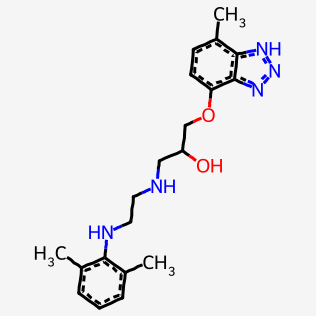 Cc1cccc(C)c1NCCNCC(O)COc1ccc(C)c2[nH]nnc12